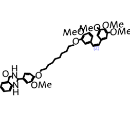 COc1cc(C2NC(=O)c3ccccc3N2)ccc1OCCCCCCCCCCOc1cc(/C=C\c2cc(OC)c(OC)c(OC)c2)ccc1OC